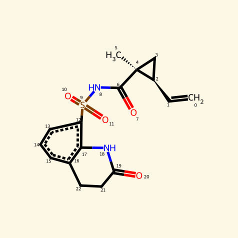 C=C[C@@H]1C[C@]1(C)C(=O)NS(=O)(=O)c1cccc2c1NC(=O)CC2